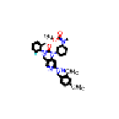 COc1ccc(CNc2cc3c(cn2)CN(c2c(C)cccc2F)C(=O)N3C2CCCC(N(C)C(=O)OC(C)(C)C)C2)c(OC)c1